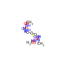 CCCN(Cc1ncc(-c2ccc3c(c2)sc2cc(-c4ccc5nc(C6C7CCC(C7)N6C(=O)CNC(=O)OC)[nH]c5c4)ccc23)[nH]1)C(=O)CNC(=O)OC